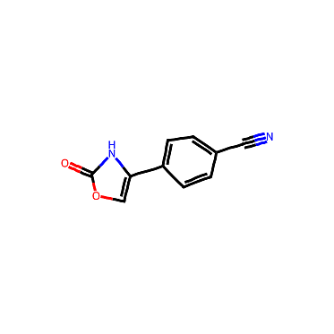 N#Cc1ccc(-c2coc(=O)[nH]2)cc1